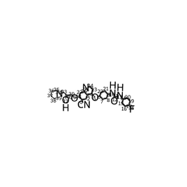 N#Cc1cc2c(Oc3ccc(NC(=O)Nc4ccc(F)cc4)cc3)ccnc2cc1OC[C@H](O)CN1CCCCC1